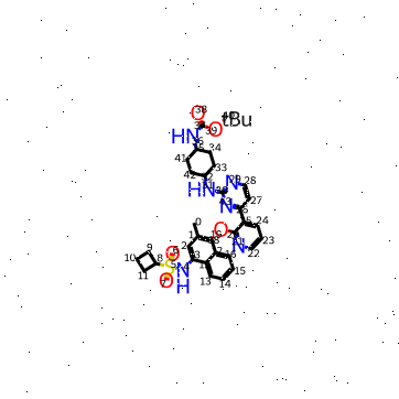 Cc1cc(NS(=O)(=O)C2CCC2)c2ccccc2c1Oc1ncccc1-c1ccnc(NC2CCC(NC(=O)OC(C)(C)C)CC2)n1